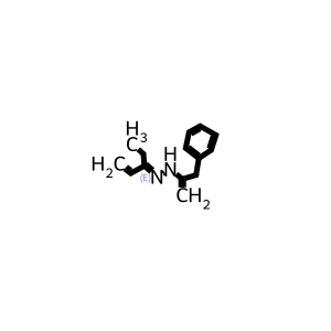 C=C/C(CC)=N/NC(=C)Cc1ccccc1